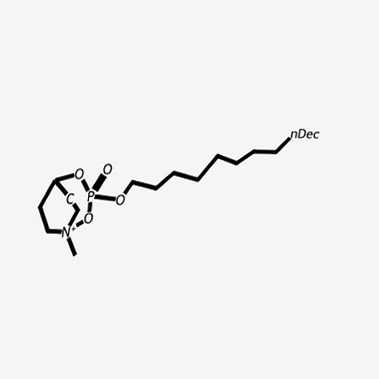 CCCCCCCCCCCCCCCCCCOP1(=O)OC2CC[N+](C)(CC2)O1